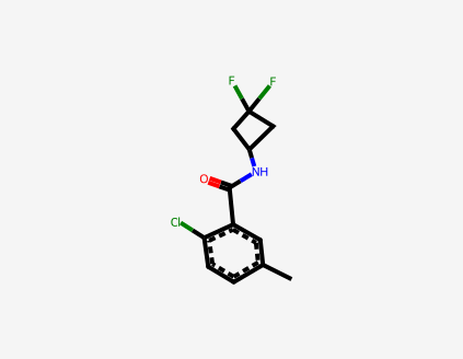 Cc1ccc(Cl)c(C(=O)NC2CC(F)(F)C2)c1